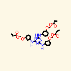 C=CC(=O)OCOc1cccc(Nc2nc(Nc3cccc(OCOC(=O)C=C)c3)nc(Nc3cccc(OCOC(=O)C=C)c3)n2)c1